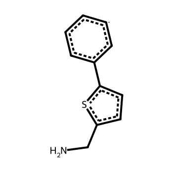 NCc1ccc(-c2c[c]ccc2)s1